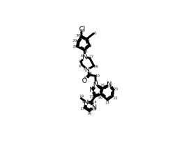 Cc1cc(N2CCN(C(=O)Cn3nc(-c4nccn4C)c4cccnc43)CC2)ccc1Cl